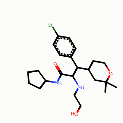 CC1(C)CC(C(c2ccc(Cl)cc2)C(NCCO)C(=O)NC2CCCC2)CCO1